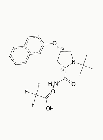 CC(C)(C)N1C[C@@H](Oc2ccc3ccccc3c2)C[C@H]1C(N)=O.O=C(O)C(F)(F)F